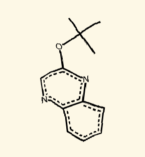 CC(C)(C)Oc1cnc2ccccc2n1